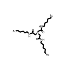 CC(=O)CCCCCNC(=O)CN(CC(=O)NCCCCCC(C)=O)CC(=O)NCCCCCC(C)=O